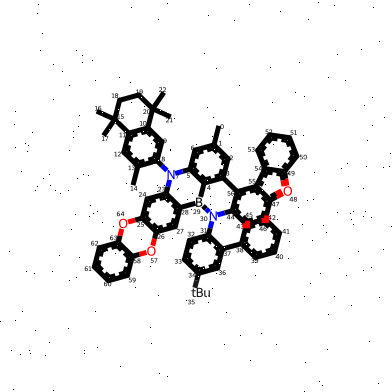 Cc1cc2c3c(c1)N(c1cc4c(cc1C)C(C)(C)CCC4(C)C)c1cc4c(cc1B3N(c1ccc(C(C)(C)C)cc1-c1ccccc1)c1ccc3oc5ccccc5c3c1-2)Oc1ccccc1O4